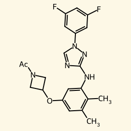 CC(=O)N1CC(Oc2cc(C)c(C)c(Nc3ncn(-c4cc(F)cc(F)c4)n3)c2)C1